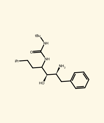 CC(C)CCC(NC(=O)NC(C)(C)C)[C@H](O)[C@@H](N)Cc1ccccc1